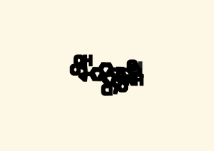 Cc1noc(C#Cc2ccc3cc(C4(CC(=O)O)CC4)ccc3c2)c1NC(=O)OC(C)c1ccccc1Cl